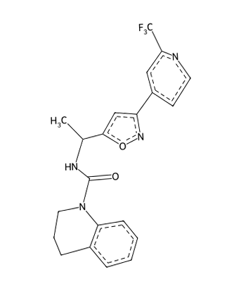 CC(NC(=O)N1CCCc2ccccc21)c1cc(-c2ccnc(C(F)(F)F)c2)no1